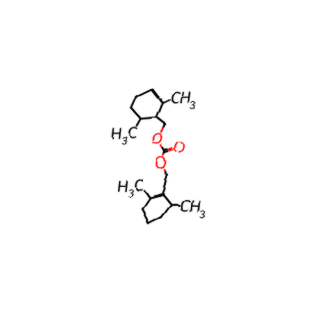 CC1CCCC(C)C1COC(=O)OCC1C(C)CCCC1C